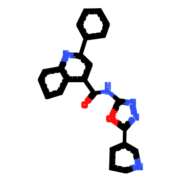 O=C(Nc1nnc(-c2cccnc2)o1)c1cc(-c2ccccc2)nc2ccccc12